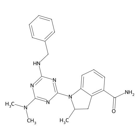 CC1Cc2c(C(N)=O)cccc2N1c1nc(NCc2ccccc2)nc(N(C)C)n1